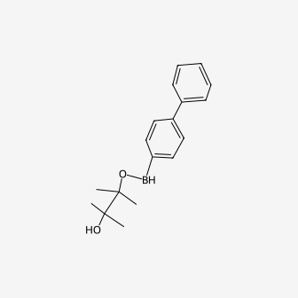 CC(C)(O)C(C)(C)OBc1ccc(-c2ccccc2)cc1